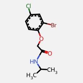 CC(C)NC(=O)COc1ccc(Cl)cc1Br